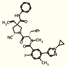 C=C[C@]1(C(=O)Nc2ccccc2)C[C@@H](C#N)N(C(=O)[C@H](CC(C)C)N(C)C(=O)c2cc(-c3cnn(C4CC4)c3)c(C)cc2F)C1